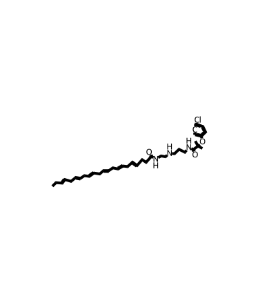 CCC=CCC=CCC=CCC=CCC=CCC=CCCC(=O)NCCNCCCNC(=O)C(C)(C)Oc1ccc(Cl)cc1